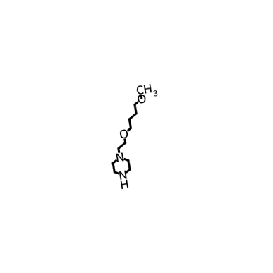 COCCCCOCCN1CCNCC1